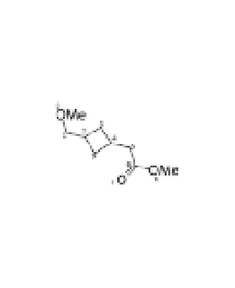 COCC1CC(CC(=O)OC)C1